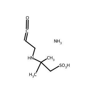 CC(C)(CS(=O)(=O)O)NCC=C=O.N